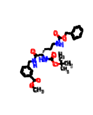 COC(=O)c1cccc(CNC(=O)[C@H](CCCNC(=O)OCc2ccccc2)NC(=O)OC(C)(C)C)c1